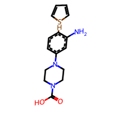 Nc1cc(N2CCN(C(=O)O)CC2)ccc1[SH]1C=CC=C1